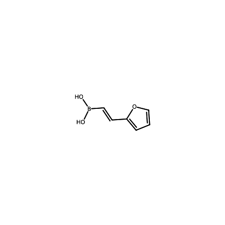 OB(O)/C=C/c1ccco1